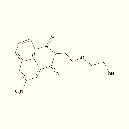 O=C1c2cccc3cc([N+](=O)[O-])cc(c23)C(=O)N1CCOCCO